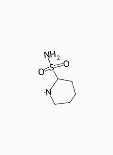 NS(=O)(=O)C1CCCC[N]1